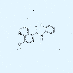 COc1ccc(C(=O)Nc2ccccc2F)c2cccnc12